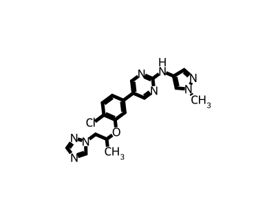 CC(Cn1cncn1)Oc1cc(-c2cnc(Nc3cnn(C)c3)nc2)ccc1Cl